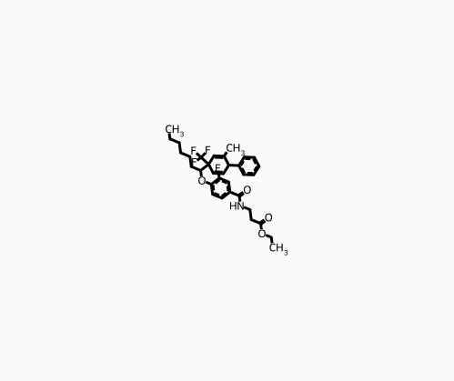 CCCCCCC(Oc1ccc(C(=O)NCCC(=O)OCC)cc1F)C1(C(F)(F)F)C=CC(c2ccccc2)C(C)=C1